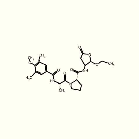 CCOC1OC(=O)CC1NC(=O)[C@@H]1CCCN1C(=O)[C@H](C)NC(=O)c1cc(C)c(OC)c(C)c1